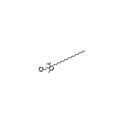 CCCCCCCCCCCCCCCCCCn1ccc(=O)c(OCc2ccccc2)c1C(C)=O